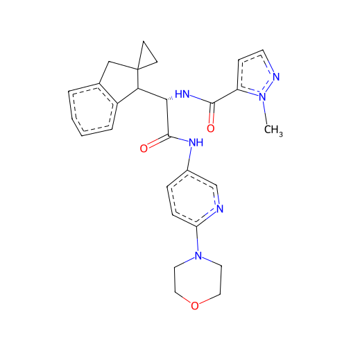 Cn1nccc1C(=O)N[C@H](C(=O)Nc1ccc(N2CCOCC2)nc1)C1c2ccccc2CC12CC2